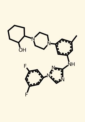 Cc1cc(Nc2ncn(-c3cc(F)cc(F)c3)n2)cc(N2CCN(C3CCCCC3O)CC2)c1